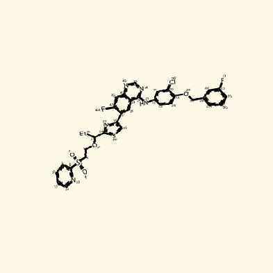 CCC(OCCS(=O)(=O)c1ccccn1)c1nc(-c2cc3c(Nc4ccc(OCc5cccc(F)c5)c(Cl)c4)ncnc3cc2F)cs1